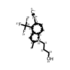 [C-]#[N+]c1ccc2c(cc(C)n2CCCO)c1C(F)(F)F